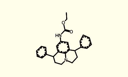 CCOC(=O)Nc1cc2c3c(c1)C(c1ccccc1)CCN3CCC2c1ccccc1